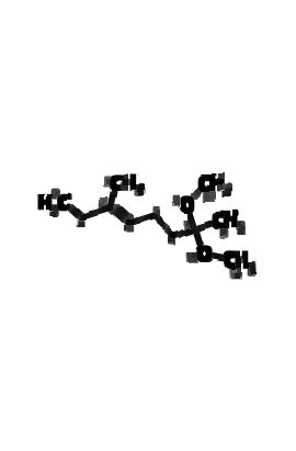 CC/C(C)=C/CCC(C)(OC)OC